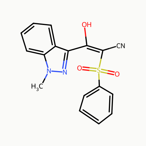 Cn1nc(C(O)=C(C#N)S(=O)(=O)c2ccccc2)c2ccccc21